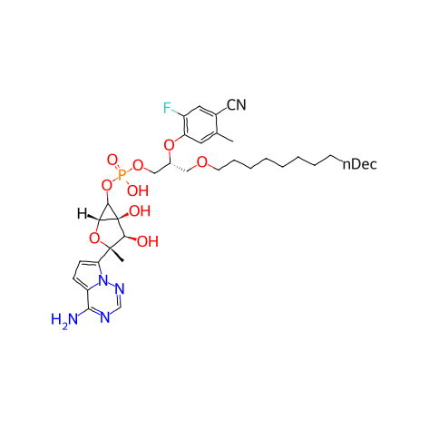 CCCCCCCCCCCCCCCCCCOC[C@H](COP(=O)(O)OC1[C@H]2O[C@@](C)(c3ccc4c(N)ncnn34)[C@H](O)[C@@]12O)Oc1cc(C)c(C#N)cc1F